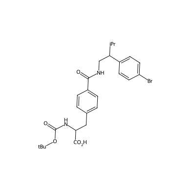 CC(C)C(CNC(=O)c1ccc(CC(NC(=O)OC(C)(C)C)C(=O)O)cc1)c1ccc(Br)cc1